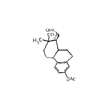 CC(=O)Oc1ccc2c(c1)CCC1C2CCC(C)(C(=O)O)[C@H]1CC=O